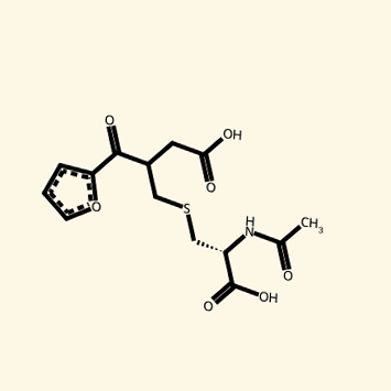 CC(=O)N[C@@H](CSCC(CC(=O)O)C(=O)c1ccco1)C(=O)O